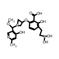 COC(c1cnc(C)cc1O)N1CC(Oc2ccc(CCB(O)O)c(O)c2C(=O)O)C1